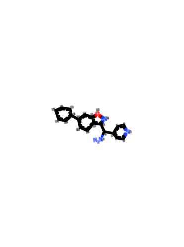 NC(c1ccncc1)c1noc2cc(-c3ccccc3)ccc12